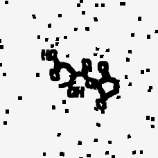 CC(O)C(CC(=O)O)C(=O)ON1C(=O)CCC1=O